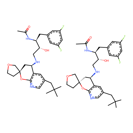 CC(=O)N[C@@H](Cc1cc(F)cc(F)c1)[C@H](O)CN[C@@H]1C[C@@]2(CCOC2)Oc2ncc(CC(C)(C)C)cc21.CC(=O)N[C@@H](Cc1cc(F)cc(F)c1)[C@H](O)CN[C@@H]1C[C@]2(CCOC2)Oc2ncc(CC(C)(C)C)cc21